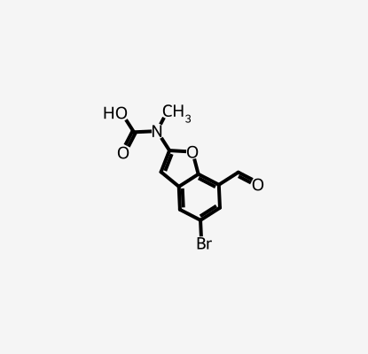 CN(C(=O)O)c1cc2cc(Br)cc(C=O)c2o1